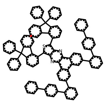 c1ccc(-c2ccc(-c3ccccc3-c3ccc4c(c3)c3cc(-c5ccccc5-c5ccc(-c6ccccc6)cc5)ccc3c3nc5c(-c6cccc7c6-c6ccccc6C7(c6ccccc6)c6ccccc6)sc(-c6cccc7c6-c6ccccc6C7(c6ccccc6)c6ccccc6)c5nc43)cc2)cc1